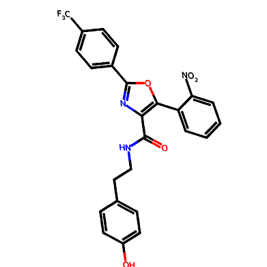 O=C(NCCc1ccc(O)cc1)c1nc(-c2ccc(C(F)(F)F)cc2)oc1-c1ccccc1[N+](=O)[O-]